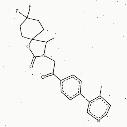 Cc1ccncc1-c1ccc(C(=O)CN2C(=O)OC3(CCC(F)(F)CC3)C2C)cc1